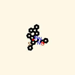 c1ccc2c(c1)ccc1c2c2c3c4ccccc4c4ccccc4c3ccc2n1-c1nc2c(nc1-c1ccc3sc4ccccc4c3c1)oc1ccccc12